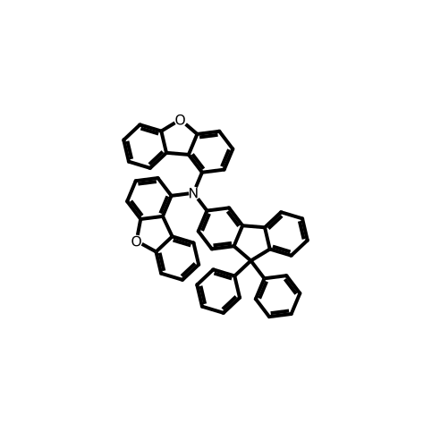 c1ccc(C2(c3ccccc3)c3ccccc3-c3cc(N(c4cccc5oc6ccccc6c45)c4cccc5oc6ccccc6c45)ccc32)cc1